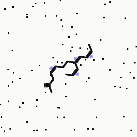 C\C=C/C=C(\C=C/C)CC/C=C\CNC